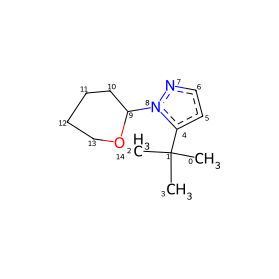 CC(C)(C)c1ccnn1C1CCCCO1